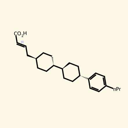 CCCc1ccc([C@H]2CC[C@H]([C@H]3CC[C@H](C/C=C/C(=O)O)CC3)CC2)cc1